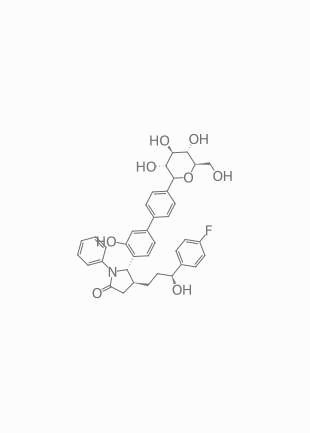 O=C1C[C@H](CC[C@H](O)c2ccc(F)cc2)[C@@H](c2ccc(-c3ccc(C4O[C@H](CO)[C@@H](O)[C@H](O)[C@H]4O)cc3)cc2O)N1c1ccccc1